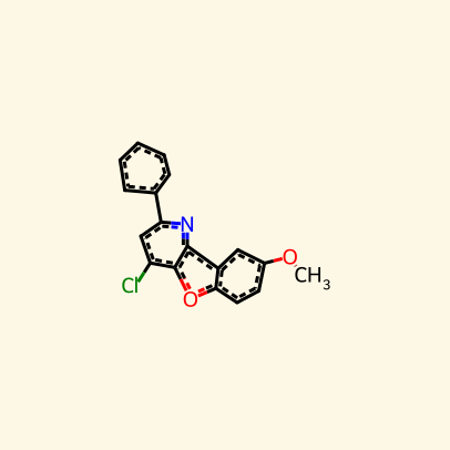 COc1ccc2oc3c(Cl)cc(-c4ccccc4)nc3c2c1